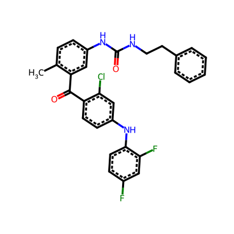 Cc1ccc(NC(=O)NCCc2ccccc2)cc1C(=O)c1ccc(Nc2ccc(F)cc2F)cc1Cl